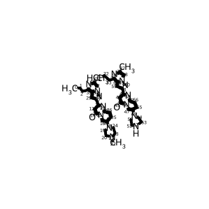 CCCc1nc(C)cn2nc(-c3cc(=O)n4cc(N5CCN(C)CC5)ccc4n3)cc12.CCCc1nc(C)cn2nc(-c3cc(=O)n4cc(N5CCNCC5)ccc4n3)cc12